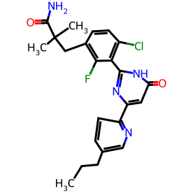 CCCc1ccc(-c2cc(=O)[nH]c(-c3c(Cl)ccc(CC(C)(C)C(N)=O)c3F)n2)nc1